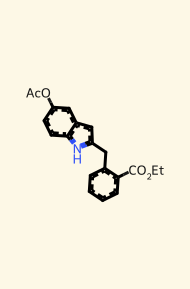 CCOC(=O)c1ccccc1Cc1cc2cc(OC(C)=O)ccc2[nH]1